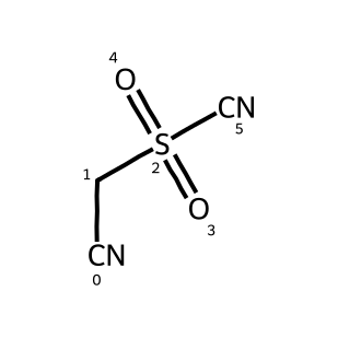 N#CCS(=O)(=O)C#N